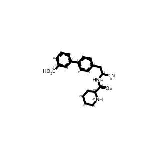 N#CC(Cc1ccc(-c2cccc(C(=O)O)c2)cc1)NC(=O)C1CCCCN1